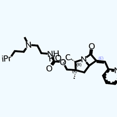 CC(C)CCN(C)CCNC(=O)OC[C@]1(C)CC2/C(=C\c3ccccn3)C(=O)N2[C@H]1C(=O)O